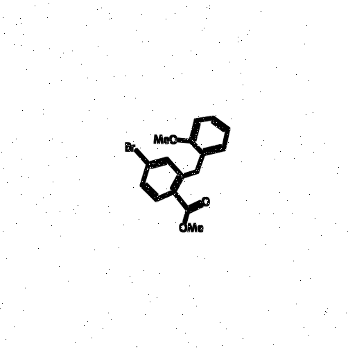 COC(=O)c1ccc(Br)cc1Cc1ccccc1OC